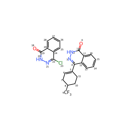 O=c1[nH]nc(C2=CCC(C(F)(F)F)CC2)c2ccccc12.O=c1[nH]nc(Cl)c2ccccc12